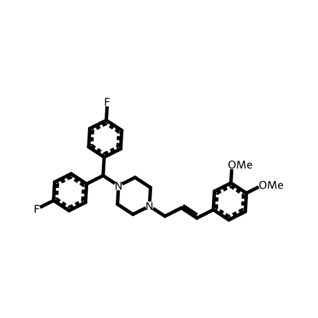 COc1ccc(/C=C/CN2CCN(C(c3ccc(F)cc3)c3ccc(F)cc3)CC2)cc1OC